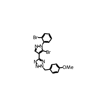 COc1ccc(Cn2nnc(-c3cnn(-c4ccccc4Br)c3Br)n2)cc1